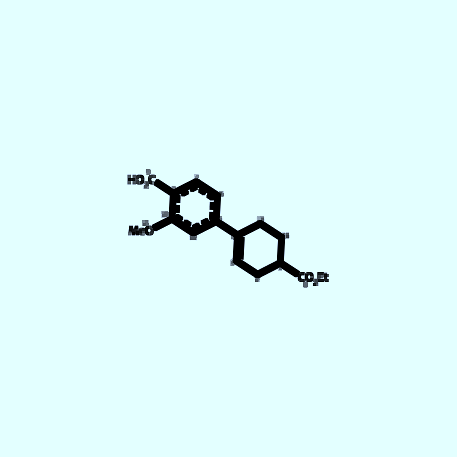 CCOC(=O)C1CC=C(c2ccc(C(=O)O)c(OC)c2)CC1